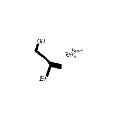 C=C(CC)CO.[BH4-].[Na+]